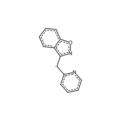 [CH](c1ccccn1)c1noc2ccccc12